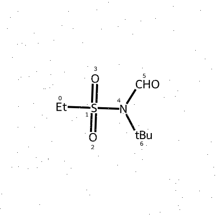 CCS(=O)(=O)N(C=O)C(C)(C)C